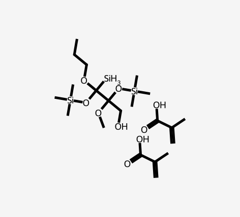 C=C(C)C(=O)O.C=C(C)C(=O)O.CCCOC([SiH3])(O[Si](C)(C)C)C(CO)(OC)O[Si](C)(C)C